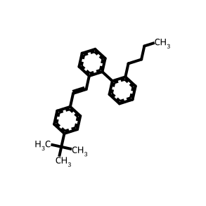 CCCCc1ccccc1-c1ccccc1/C=C/c1ccc(C(C)(C)C)cc1